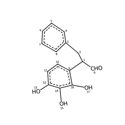 O=CC(Cc1ccccc1)c1ccc(O)c(O)c1O